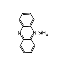 [SiH4].c1ccc2nc3ccccc3nc2c1